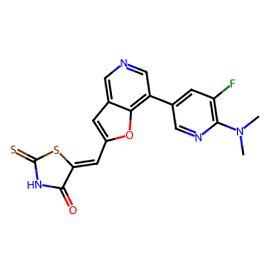 CN(C)c1ncc(-c2cncc3cc(/C=C4\SC(=S)NC4=O)oc23)cc1F